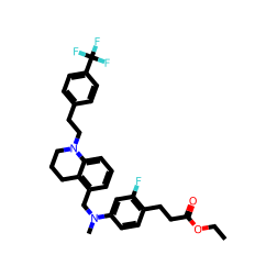 CCOC(=O)CCc1ccc(N(C)Cc2cccc3c2CCCN3CCc2ccc(C(F)(F)F)cc2)cc1F